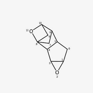 C1C2OC2C2C1C1CC23CC1O3